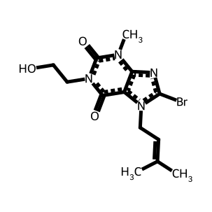 CC(C)=CCn1c(Br)nc2c1c(=O)n(CCO)c(=O)n2C